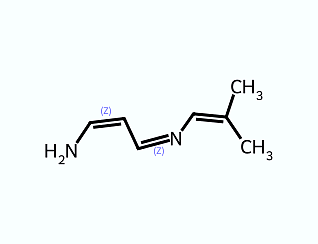 CC(C)=C/N=C\C=C/N